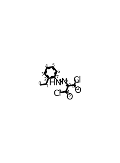 CCc1ccccc1NN=C(C(=O)Cl)C(=O)Cl